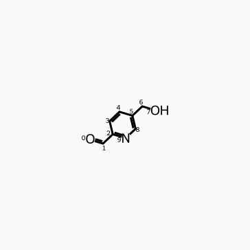 O=Cc1ccc(CO)cn1